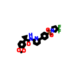 O=C(Nc1cccc(-c2ccc(S(=O)(=O)N3CCC(F)(F)C3)cc2)n1)C1(c2ccc3c(c2)OCO3)CC1